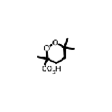 CC1(C)CCC(C)(C(=O)O)OO1